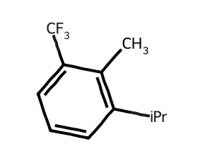 Cc1c(C(C)C)cccc1C(F)(F)F